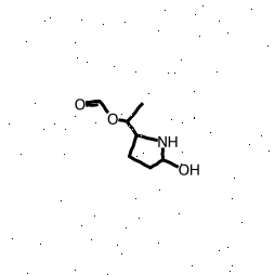 CC(OC=O)C1CCC(O)N1